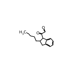 CCCCCC1Cc2ccccc2C1C(=O)C=O